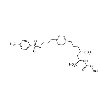 Cc1ccc(S(=O)(=O)OCCCc2ccc(CCC[C@@H](C[C@@H](NC(=O)OC(C)(C)C)C(=O)O)C(=O)O)cc2)cc1